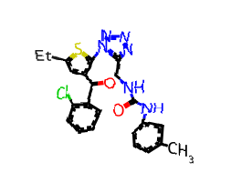 CCc1cc(C(=O)c2ccccc2Cl)c(-n2nnnc2CNC(=O)Nc2cccc(C)c2)s1